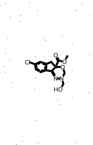 COC(=O)C12Cc3cc(Cl)ccc3C1=NN(CO)CO2